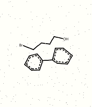 OCCCCBr.c1ccc(-c2ccccc2)cc1